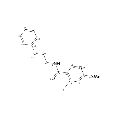 CSc1cc(I)c(C(=O)NCCOc2ccccc2)cn1